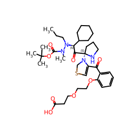 CCCN([C@H](C(=O)[C@@]1(N2CSC=C2C(=O)c2ccccc2OCCOCCC(=O)O)CCCN1)C1CCCCC1)N(C)C(=O)OC(C)(C)C